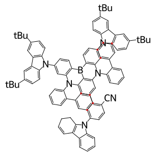 CC(C)(C)c1ccc2c(c1)c1cc(C(C)(C)C)ccc1n2-c1ccc2c(c1)N(c1ccccc1-c1ccccc1)c1cc(-c3cc(-n4c5c(c6ccccc64)C=CCC5)ccc3C#N)cc3c1B2c1ccc(-n2c4ccc(C(C)(C)C)cc4c4cc(C(C)(C)C)ccc42)cc1N3c1ccccc1-c1ccccc1